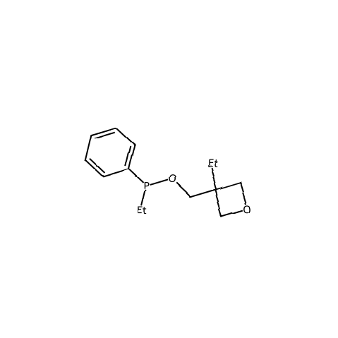 CCP(OCC1(CC)COC1)c1ccccc1